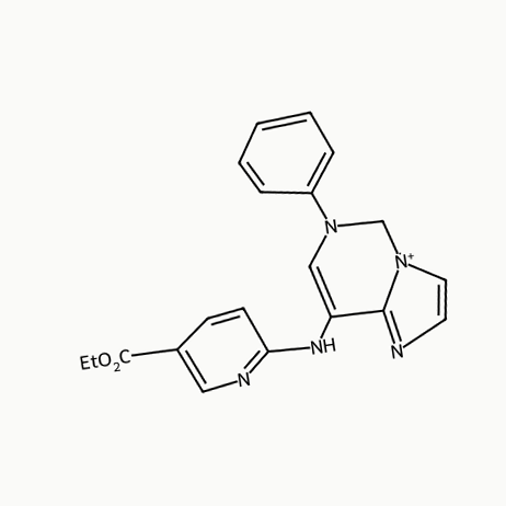 CCOC(=O)c1ccc(NC2=CN(c3ccccc3)C[N+]3C=CN=C23)nc1